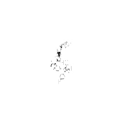 CN(CC(=O)N1CCOCC1)S(=O)(=O)c1ccc(-c2ncnc3ccc(-c4c[nH]nc4-c4ccc(F)cc4)cc23)s1.Cl.Cl